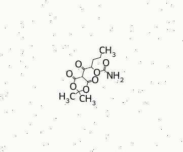 CCCC(OC(N)=O)C(=O)C1C(=O)OC(C)(C)OC1=O